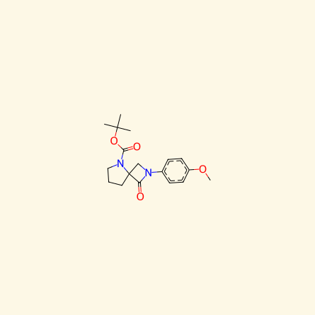 COc1ccc(N2CC3(CCCN3C(=O)OC(C)(C)C)C2=O)cc1